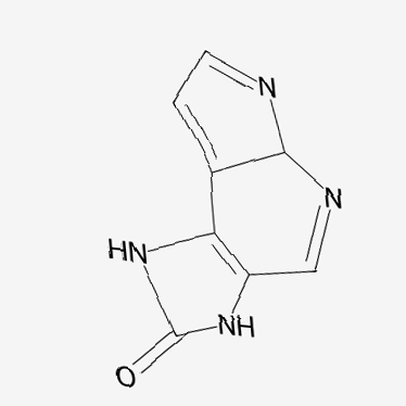 O=c1[nH]c2c([nH]1)C1=CC=NC1N=C2